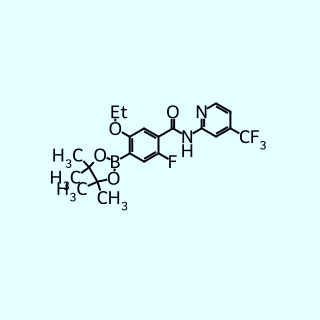 CCOc1cc(C(=O)Nc2cc(C(F)(F)F)ccn2)c(F)cc1B1OC(C)(C)C(C)(C)O1